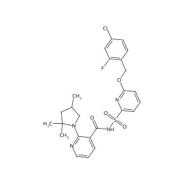 CC1CN(c2ncccc2C(=O)NS(=O)(=O)c2cccc(OCc3ccc(Cl)cc3F)n2)C(C)(C)C1